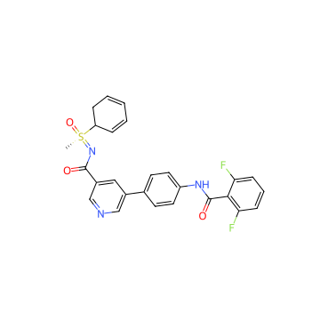 C[S@@](=O)(=NC(=O)c1cncc(-c2ccc(NC(=O)c3c(F)cccc3F)cc2)c1)C1C=CC=CC1